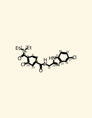 CCN(CC)C(=O)c1ccc(C(=O)NCc2nc3cc(Cl)ccc3[nH]2)cc1Cl